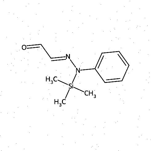 C[Si](C)(C)N(N=CC=O)c1ccccc1